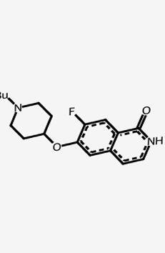 CCCCN1CCC(Oc2cc3cc[nH]c(=O)c3cc2F)CC1